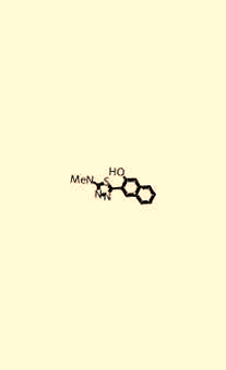 CNc1nnc(-c2cc3ccccc3cc2O)s1